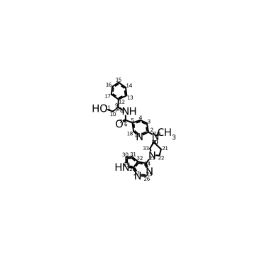 CN(c1ccc(C(=O)N[C@@H](CO)c2ccccc2)cn1)[C@@H]1CCN(c2ncnc3[nH]ccc23)C1